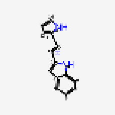 C(=C\c1cc2ccccc2[nH]1)/c1ccc[nH]1